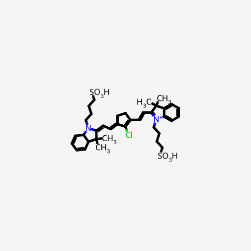 CC1(C)C(/C=C/C2=C(Cl)C(=C/C=C3/N(CCCCS(=O)(=O)O)C4C=CC=CC4C3(C)C)/CC2)=[N+](CCCCS(=O)(=O)O)c2ccccc21